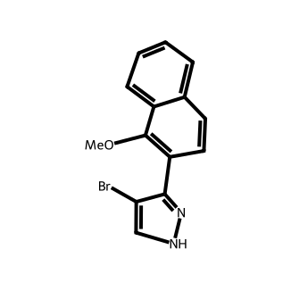 COc1c(-c2n[nH]cc2Br)ccc2ccccc12